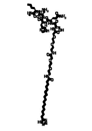 CCCC[C@H](NC(=O)[C@H](CN)NC(=O)[C@H](Cc1c[nH]cn1)NC(=O)[C@H](CCC(N)=O)NC(=O)[C@H](CO)NC(=O)COCCOCCNC(=O)COCCOCCNC(=O)CCCCCCCCCCCCCCCc1nnn[nH]1)C(=O)NC